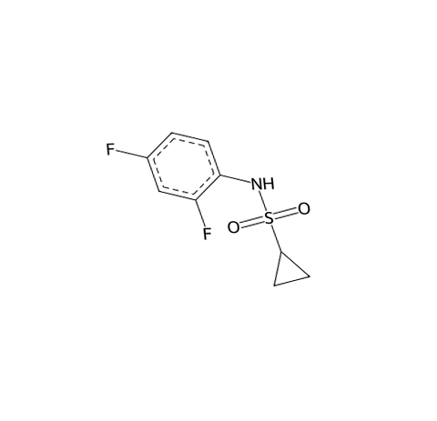 O=S(=O)(Nc1ccc(F)cc1F)C1CC1